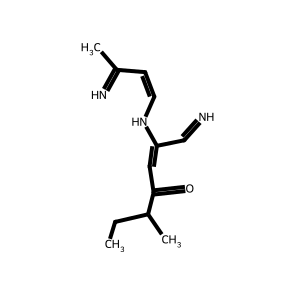 CCC(C)C(=O)/C=C(\C=N)N/C=C\C(C)=N